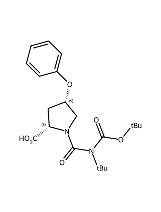 CC(C)(C)OC(=O)N(C(=O)N1C[C@@H](Oc2ccccc2)C[C@H]1C(=O)O)C(C)(C)C